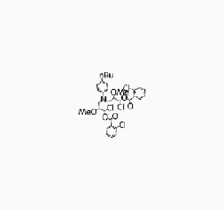 CCCCc1ccc(N(CC(OC)C(Cl)OC(=O)c2ccccc2Cl)CC(OC)C(Cl)OC(=O)c2ccccc2Cl)cc1